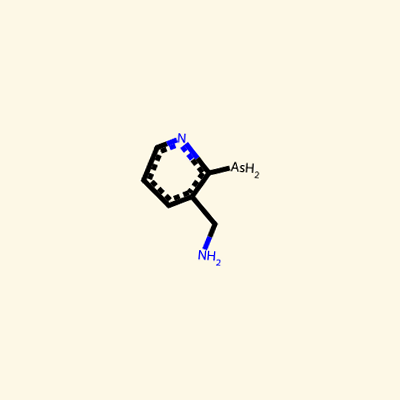 NCc1cccnc1[AsH2]